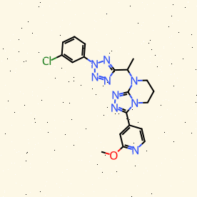 COc1cc(-c2nnc3n2CCCN3C(C)c2nnn(-c3cccc(Cl)c3)n2)ccn1